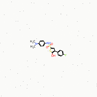 CN(C)c1ccc(NS(=O)(=O)c2cc(-c3ccc(F)cc3)c(O)s2)cc1